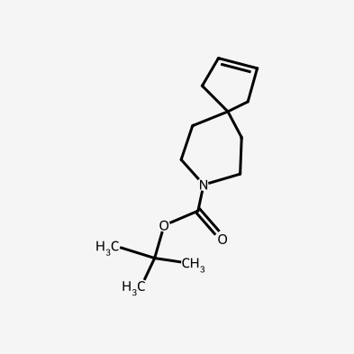 CC(C)(C)OC(=O)N1CCC2(CC=CC2)CC1